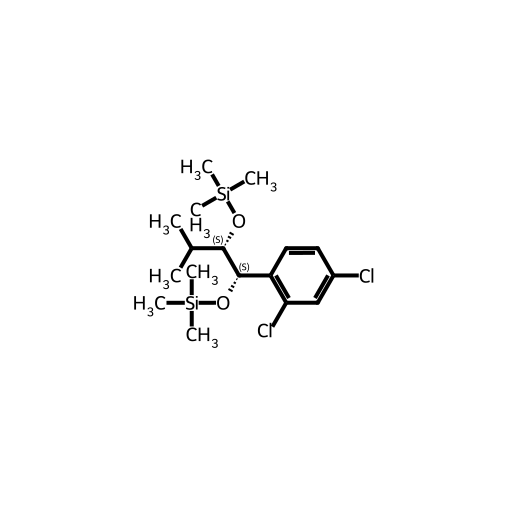 CC(C)[C@H](O[Si](C)(C)C)[C@@H](O[Si](C)(C)C)c1ccc(Cl)cc1Cl